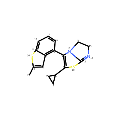 Cc1cc2c(C3=C(C4CC4)SC4=NCCN43)cccc2s1